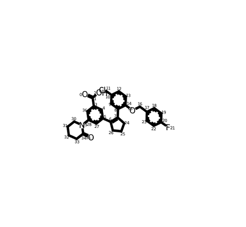 O=C(O)c1cc(C2=C(c3cc(Cl)ccc3OCc3ccc(F)cc3)CCC2)cc(N2CCCCC2=O)c1